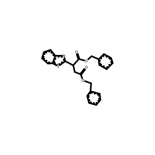 O=C(CC(C(=O)OCc1ccccc1)c1nc2ccccc2s1)OCc1ccccc1